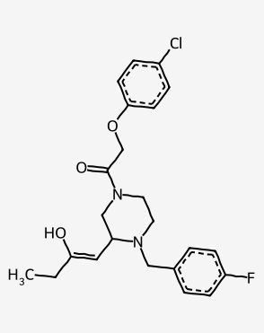 CCC(O)=CC1CN(C(=O)COc2ccc(Cl)cc2)CCN1Cc1ccc(F)cc1